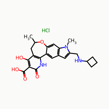 CC1Cc2c([nH]c(=O)c(C(=O)O)c2O)-c2cc3cc(CNC4CCC4)n(C)c3cc2O1.Cl